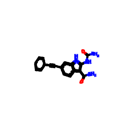 NC(=O)Nc1[nH]c2cc(C#Cc3ccccc3)ccc2c1C(N)=O